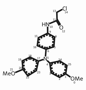 COc1ccc(N(c2ccc(NC(=O)CCl)cc2)c2ccc(OC)cc2)cc1